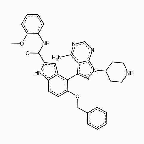 COc1ccccc1NC(=O)c1cc2c(-c3nn(C4CCNCC4)c4ncnc(N)c34)c(OCc3ccccc3)ccc2[nH]1